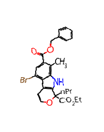 CCCC1(C(=O)OCC)OCCc2c1[nH]c1c(C)c(C(=O)OCc3ccccc3)cc(Br)c21